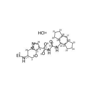 CCNC1COc2c(S(=O)(=O)NC(=O)Nc3c4c(cc5c3CCC5)CCC4)cnn2C1.Cl